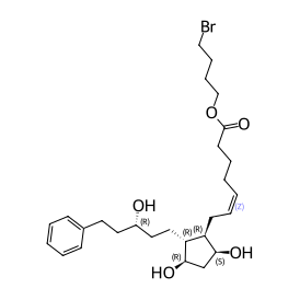 O=C(CCC/C=C\C[C@@H]1[C@@H](CC[C@@H](O)CCc2ccccc2)[C@H](O)C[C@@H]1O)OCCCCBr